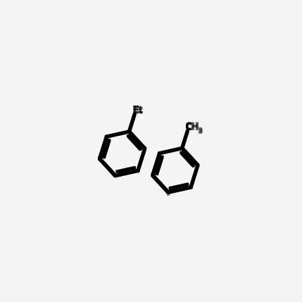 Cc1cc[c]cc1.[CH2]Cc1ccccc1